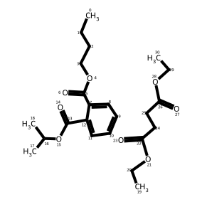 CCCCOC(=O)c1ccccc1C(=O)OC(C)C.CCOC(=O)CCC(=O)OCC